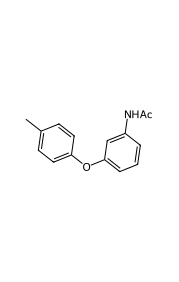 CC(=O)Nc1cccc(Oc2ccc(C)cc2)c1